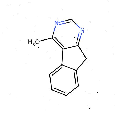 Cc1ncnc2c1-c1ccccc1C2